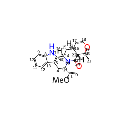 C=C(OC)[C@@H]1Cc2c([nH]c3ccccc23)[C@@H]2C[C@@H]3C=CO[C@@H](C)[C@@H]3C(=O)N12